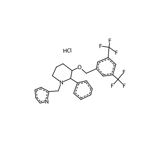 Cl.FC(F)(F)c1cc(COC2CCCN(Cc3ccccn3)C2c2ccccc2)cc(C(F)(F)F)c1